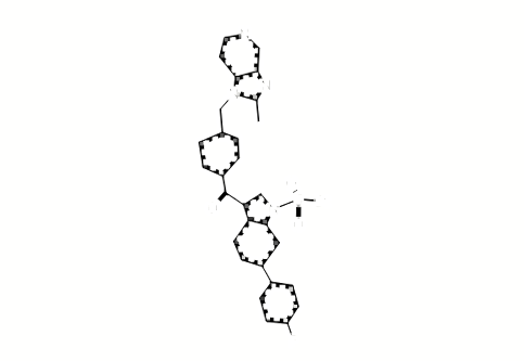 CCS(=O)(=O)n1cc(C(=O)c2ccc(Cn3c(C)nc4cnccc43)cc2)c2ccc(-c3ccc(F)cc3)cc21